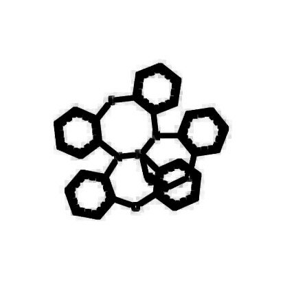 c1ccc2c(c1)Oc1ccccc1[Si]13c4ccccc4Oc4ccccc4N1c1ccccc1Sc1ccccc1N23